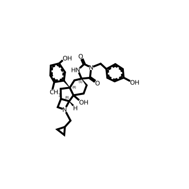 Cc1ccc(O)cc1[C@]12CC3CN(CC4CC4)[C@H]3C1(O)CC[C@@]1(C2)NC(=O)N(Cc2ccc(O)cc2)C1=O